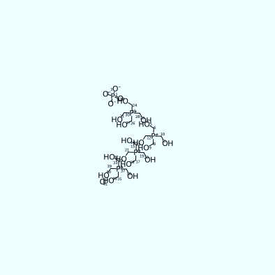 O=P([O-])([O-])[O-].OC[P+](CO)(CO)CO.OC[P+](CO)(CO)CO.OC[P+](CO)(CO)CO.OC[P+](CO)(CO)CO.[Cl-]